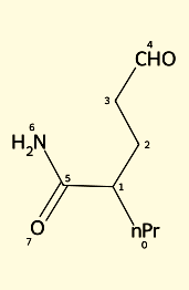 CCCC(CCC=O)C(N)=O